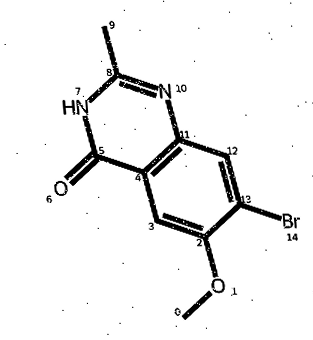 COc1cc2c(=O)[nH]c(C)nc2cc1Br